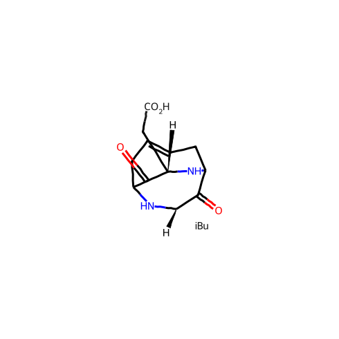 CC[C@H](C)[C@@H]1NC2C/C=C/CC(N[C@@H](CC(=O)O)C2=O)C1=O